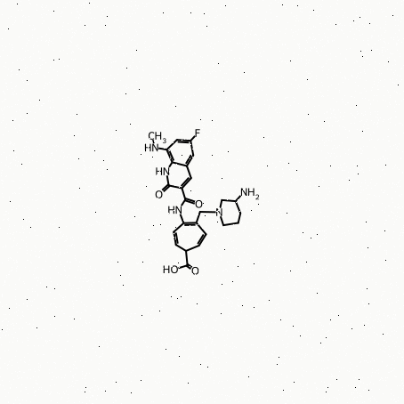 CNc1cc(F)cc2cc(C(=O)NC3=C(CN4CCCC(N)C4)C=CC(C(=O)O)C=C3)c(=O)[nH]c12